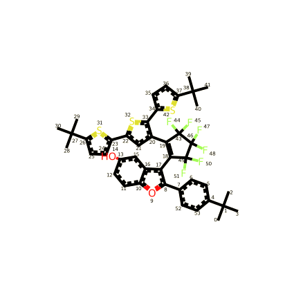 CC(C)(C)c1ccc(-c2oc3ccc(O)cc3c2C2=C(c3cc(-c4ccc(C(C)(C)C)s4)sc3-c3ccc(C(C)(C)C)s3)C(F)(F)C(F)(F)C2(F)F)cc1